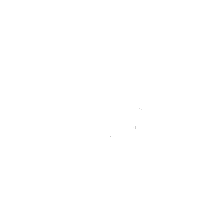 Cc1csc(Nc2ncc(C(C)c3ccccc3)cc2OCc2ccccc2)n1